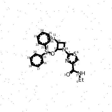 CCNC(=O)c1csc(N2CC(C(C)(C)C)C2O[SiH](c2ccccc2)c2ccccc2)n1